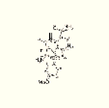 COc1ccc(-c2cc3c(NC(C)C(C)(C)C(N)=O)c(C(N)=O)cnn3c2)cc1